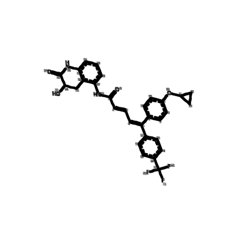 O=C(/C=C/C=C(\c1ccc(OC2CC2)cc1)c1ccc(C(F)(F)F)cc1)Nc1cccc2c1CC(O)C(=O)N2